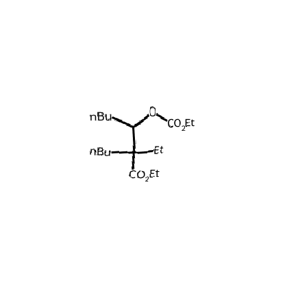 CCCCC(OC(=O)OCC)C(CC)(CCCC)C(=O)OCC